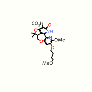 COCCCCOc1cc2c(nc1OC)-c1[nH]c(=O)c(C(=O)O)c3c1C(CO2)C(C)(C)O3